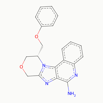 Nc1nc2ccccc2c2c1nc1n2[C@@H](COc2ccccc2)COC1